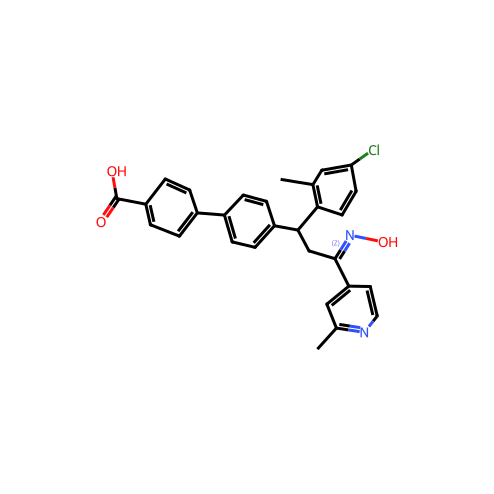 Cc1cc(/C(CC(c2ccc(-c3ccc(C(=O)O)cc3)cc2)c2ccc(Cl)cc2C)=N\O)ccn1